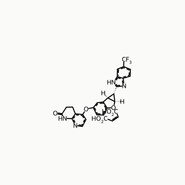 O=C(O)/C=C\C(=O)O.O=C1CCc2c(Oc3ccc4c(c3)[C@@H]3[C@H](O4)[C@H]3c3nc4ccc(C(F)(F)F)cc4[nH]3)ccnc2N1